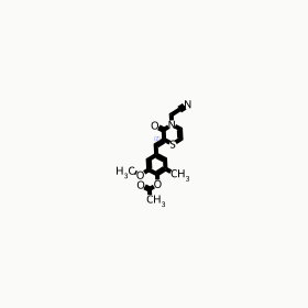 COc1cc(/C=C2\SC=CN(CC#N)C2=O)cc(C)c1OC(C)=O